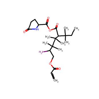 C=CC(=O)OCC(P)C(C)(C)C(C)(C)C(C(=O)OC(=O)C1CCC(=O)N1)C(C)(C)CC